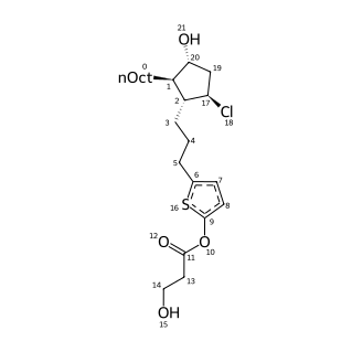 CCCCCCCC[C@@H]1[C@@H](CCCc2ccc(OC(=O)CCO)s2)[C@H](Cl)C[C@H]1O